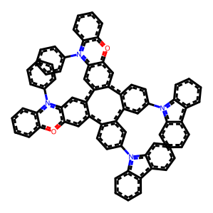 c1ccc(-n2c3ccccc3oc3cc4c5ccc(-n6c7ccccc7c7ccccc76)cc5c5cc(-n6c7ccccc7c7ccccc76)ccc5c5cc6oc7ccccc7n(-c7ccccc7)c6cc5c4cc32)cc1